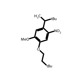 COc1cc(C(C)C(C)(C)C)c([N+](=O)[O-])cc1OCCC(C)(C)C